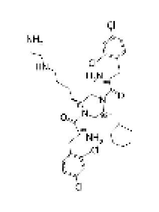 NCCNCCCC[C@H]1CN(C(=O)[C@H](N)Cc2ccc(Cl)cc2Cl)[C@H](CC2CCCCC2)CN1C(=O)[C@H](N)Cc1ccc(Cl)cc1Cl